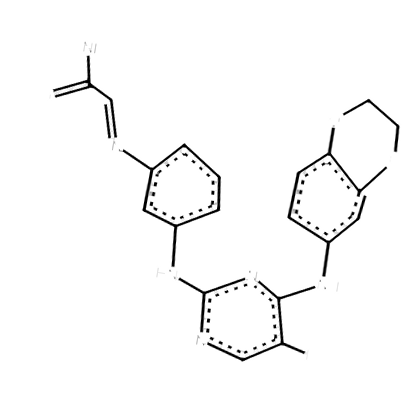 NC(=O)C=Nc1cccc(Nc2ncc(F)c(Nc3ccc4c(c3)OCCO4)n2)c1